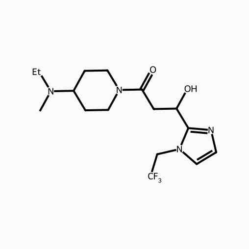 CCN(C)C1CCN(C(=O)CC(O)c2nccn2CC(F)(F)F)CC1